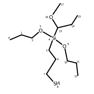 CCCO[Si](CCCS)(OCCC)C(CC)OC